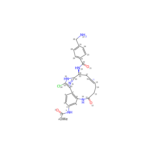 COC(=O)Nc1ccc2c(c1)NC(=O)CC/C=C/C[C@H](NC(=O)c1ccc(CN)cc1)c1nc-2c(Cl)[nH]1